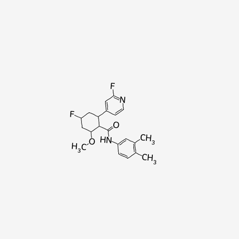 COC1CC(F)CC(c2ccnc(F)c2)C1C(=O)Nc1ccc(C)c(C)c1